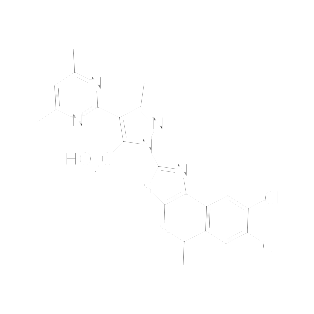 Cc1cc(C)nc(-c2c(C)nn(-c3nc4c(s3)SC(C)c3cc(Cl)c(Cl)cc3-4)c2C(=O)O)n1